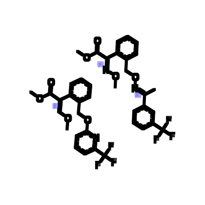 CO/C=C(/C(=O)OC)c1ccccc1COc1cccc(C(F)(F)F)n1.CO/N=C(/C(=O)OC)c1ccccc1CO/N=C(\C)c1cccc(C(F)(F)F)c1